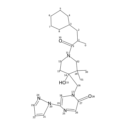 CC(CC1CCCCC1)C(=O)N1CCC(O)(Cn2cc(-n3cccn3)ncc2=O)C(C)(C)C1